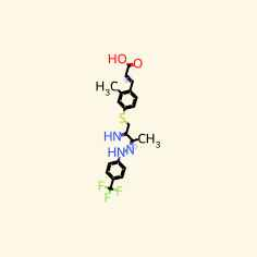 C/C(=N/Nc1ccc(C(F)(F)F)cc1)C(=N)CSc1ccc(/C=C/C(=O)O)c(C)c1